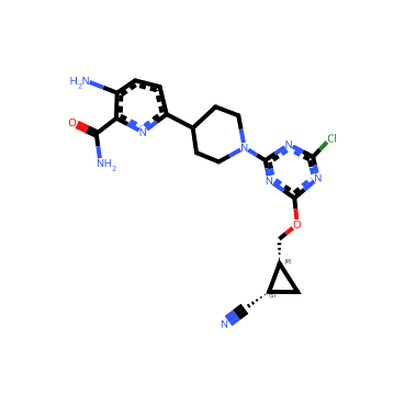 N#C[C@H]1C[C@H]1COc1nc(Cl)nc(N2CCC(c3ccc(N)c(C(N)=O)n3)CC2)n1